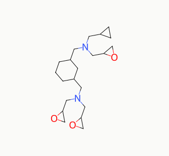 C1CC(CN(CC2CC2)CC2CO2)CC(CN(CC2CO2)CC2CO2)C1